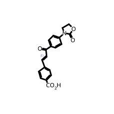 O=C(O)c1ccc(/C=C/C(=O)c2ccc(N3CCOC3=O)cc2)cc1